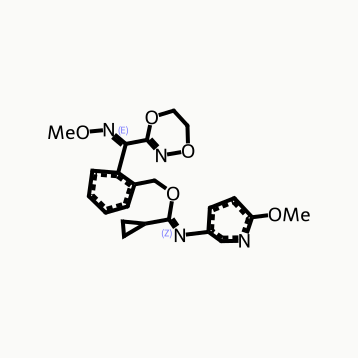 CO/N=C(/C1=NOCCO1)c1ccccc1CO/C(=N\c1ccc(OC)nc1)C1CC1